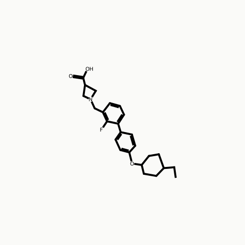 CCC1CCC(Oc2ccc(-c3cccc(CN4CC(C(=O)O)C4)c3F)cc2)CC1